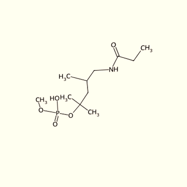 CCC(=O)NCC(C)CC(C)(C)OP(=O)(O)OC